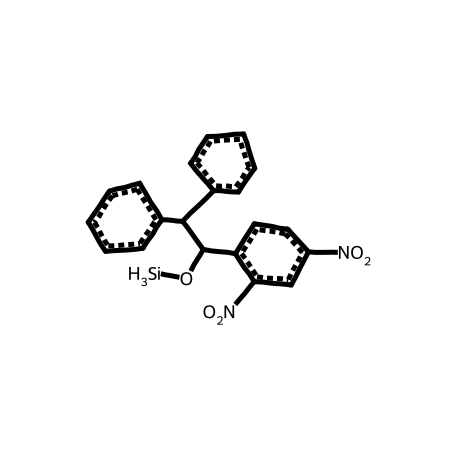 O=[N+]([O-])c1ccc(C(O[SiH3])C(c2ccccc2)c2ccccc2)c([N+](=O)[O-])c1